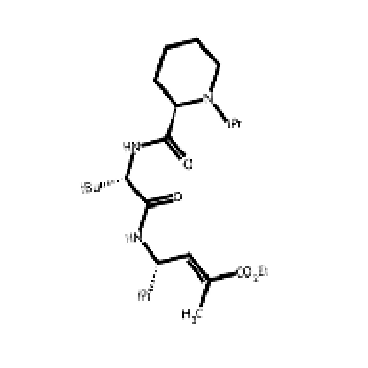 CCOC(=O)/C(C)=C/[C@@H](NC(=O)[C@@H](NC(=O)[C@H]1CCCCN1C(C)C)C(C)(C)C)C(C)C